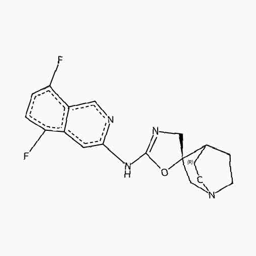 Fc1ccc(F)c2cc(NC3=NC[C@@]4(CN5CCC4CC5)O3)ncc12